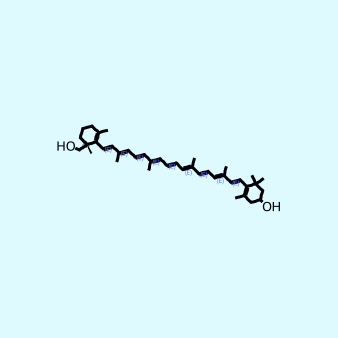 CC1=C(/C=C/C(C)=C/C=C/C(C)=C/C=C/C=C(C)/C=C/C=C(C)/C=C/C2=C(C)CCC[C@@]2(C)CO)C(C)(C)CC(O)C1